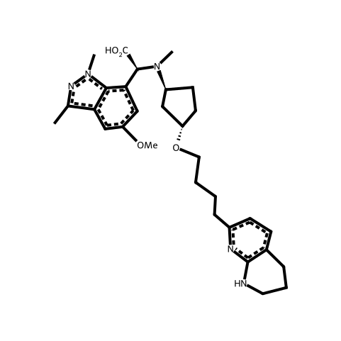 COc1cc([C@@H](C(=O)O)N(C)[C@H]2CC[C@H](OCCCCc3ccc4c(n3)NCCC4)C2)c2c(c1)c(C)nn2C